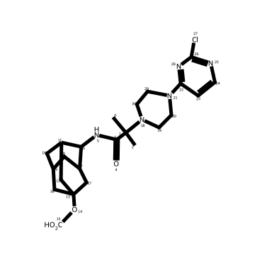 CC(C)(C(=O)NC1C2CC3CC1CC(OC(=O)O)(C3)C2)N1CCN(c2ccnc(Cl)n2)CC1